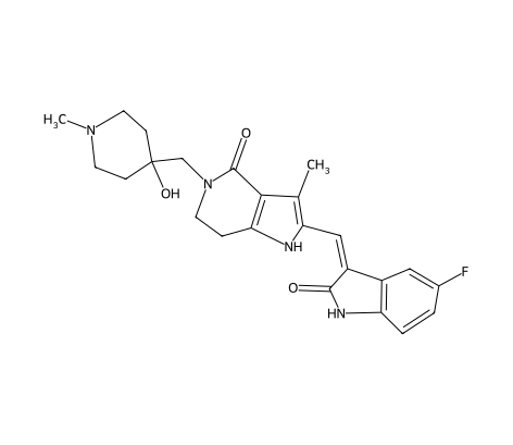 Cc1c(C=C2C(=O)Nc3ccc(F)cc32)[nH]c2c1C(=O)N(CC1(O)CCN(C)CC1)CC2